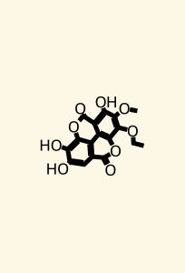 CCOc1c(OC)c(O)c2c(=O)oc3c(O)c(O)cc4c(=O)oc1c2c34